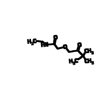 CCNC(=O)COCC(=O)C(C)(C)C